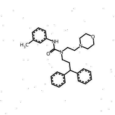 Cc1cccc(NC(=O)N(CCC(c2ccccc2)c2ccccc2)CCN2CCOCC2)c1